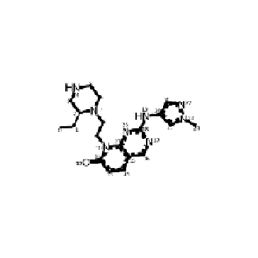 CC[C@H]1CNCCN1CCn1c(=O)ccc2cnc(Nc3cnn(C)c3)nc21